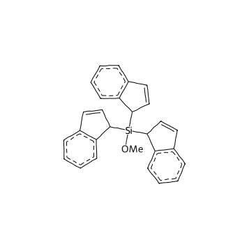 CO[Si](C1C=Cc2ccccc21)(C1C=Cc2ccccc21)C1C=Cc2ccccc21